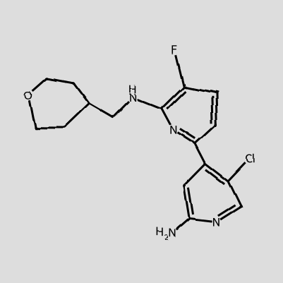 Nc1cc(-c2ccc(F)c(NCC3CCOCC3)n2)c(Cl)cn1